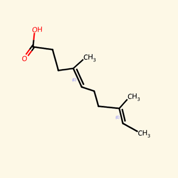 C/C=C(\C)CC/C=C(\C)CCC(=O)O